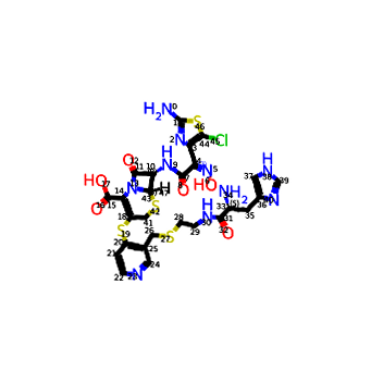 Nc1nc(/C(=N/O)C(=O)N[C@@H]2C(=O)N3C(C(=O)O)=C(Sc4ccncc4CSCCNC(=O)[C@@H](N)Cc4c[nH]cn4)CS[C@@H]23)c(Cl)s1